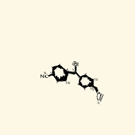 N#Cc1ccc(C(Br)c2ccc(C#N)cc2)cc1